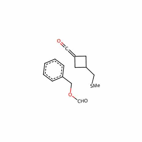 CSCC1CC(=C=O)C1.O=COCc1ccccc1